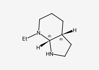 CCN1CCC[C@@H]2CCN[C@@H]21